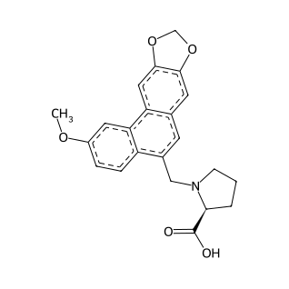 COc1ccc2c(CN3CCC[C@H]3C(=O)O)cc3cc4c(cc3c2c1)OCO4